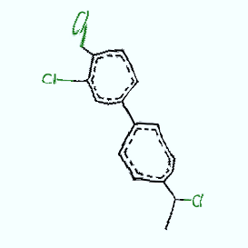 CC(Cl)c1ccc(-c2ccc(Cl)c(Cl)c2)cc1